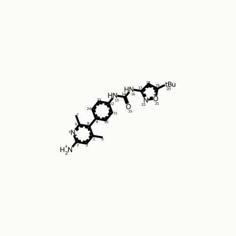 Cc1cc(N)nc(C)c1-c1ccc(NC(=O)Nc2cc(C(C)(C)C)on2)cc1